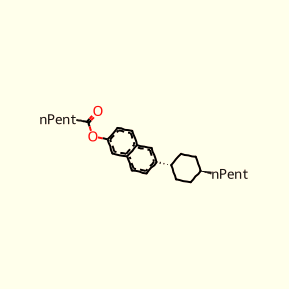 CCCCCC(=O)Oc1ccc2cc([C@H]3CC[C@H](CCCCC)CC3)ccc2c1